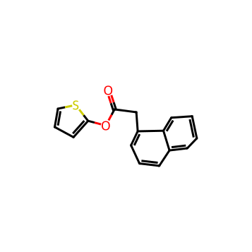 O=C(Cc1cccc2ccccc12)Oc1cccs1